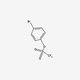 O=S(=O)(Oc1ccc(Br)cc1)C(F)(F)F